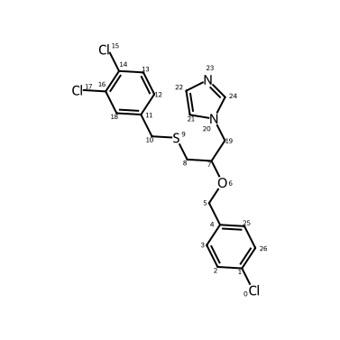 Clc1ccc(COC(CSCc2ccc(Cl)c(Cl)c2)Cn2ccnc2)cc1